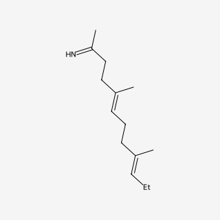 CC/C=C(\C)CC/C=C(\C)CCC(C)=N